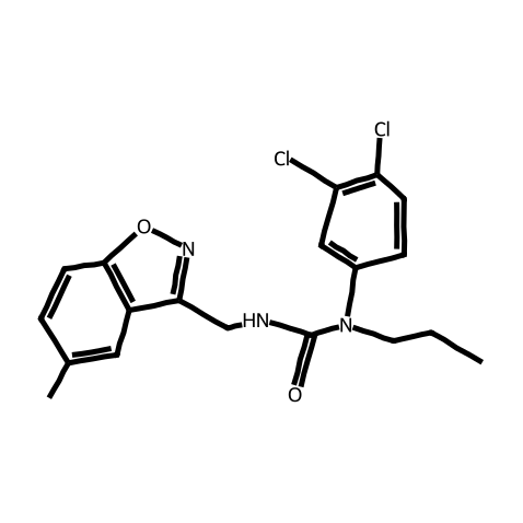 CCCN(C(=O)NCc1noc2ccc(C)cc12)c1ccc(Cl)c(Cl)c1